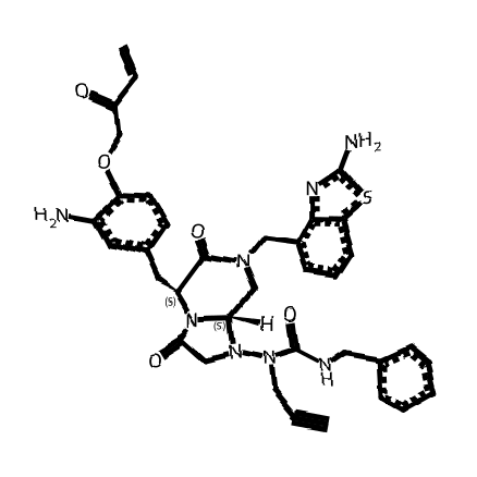 C#CCN(C(=O)NCc1ccccc1)N1CC(=O)N2[C@@H](Cc3ccc(OCC(=O)C=C)c(N)c3)C(=O)N(Cc3cccc4sc(N)nc34)C[C@@H]21